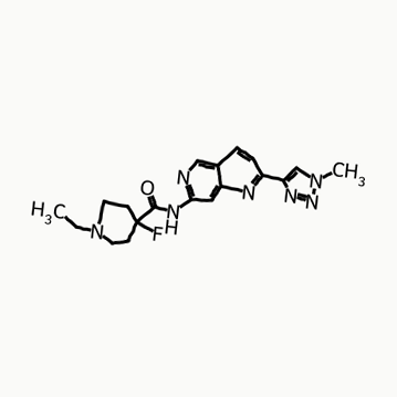 CCN1CCC(F)(C(=O)Nc2cc3nc(-c4cn(C)nn4)ccc3cn2)CC1